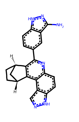 Nc1n[nH]c2ccc(-c3nc4ccc5[nH]ncc5c4c4c3[C@@H]3CC[C@@H]4C3)cc12